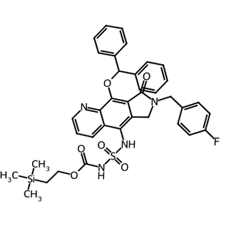 C[Si](C)(C)CCOC(=O)NS(=O)(=O)Nc1c2c(c(OC(c3ccccc3)c3ccccc3)c3ncccc13)C(=O)N(Cc1ccc(F)cc1)C2